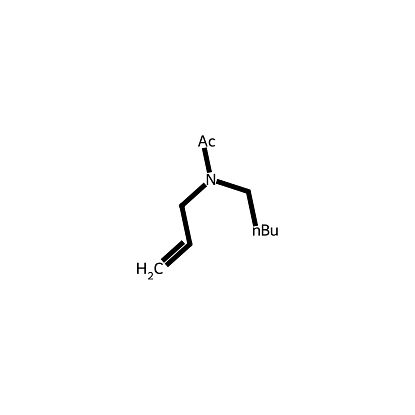 [CH2]C(=O)N(CC=C)CCCCC